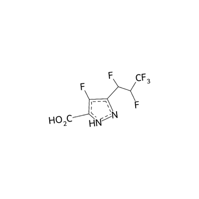 O=C(O)c1[nH]nc(C(F)C(F)C(F)(F)F)c1F